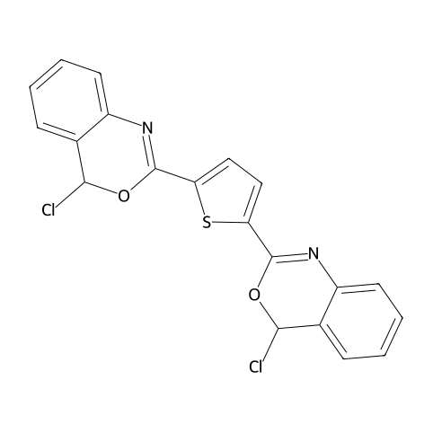 ClC1OC(c2ccc(C3=Nc4ccccc4C(Cl)O3)s2)=Nc2ccccc21